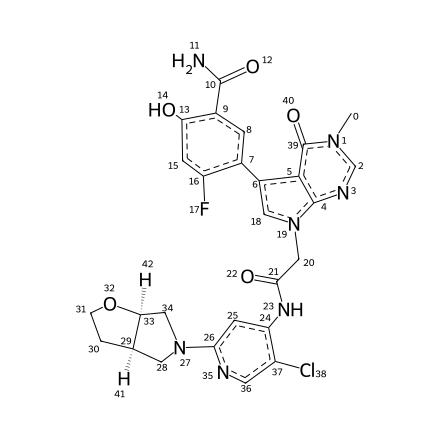 Cn1cnc2c(c(-c3cc(C(N)=O)c(O)cc3F)cn2CC(=O)Nc2cc(N3C[C@H]4CCO[C@H]4C3)ncc2Cl)c1=O